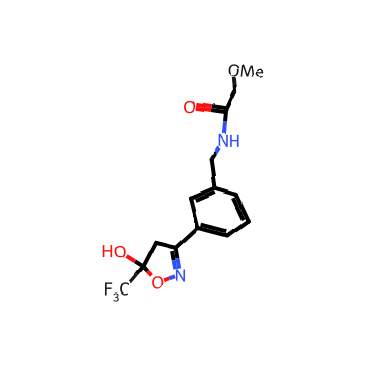 COCC(=O)NCc1cccc(C2=NOC(O)(C(F)(F)F)C2)c1